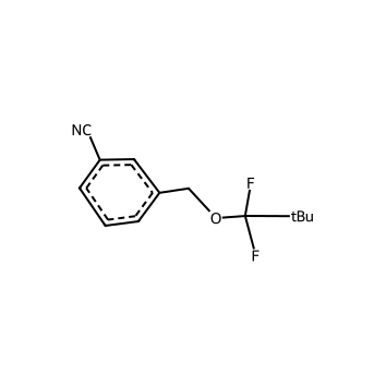 CC(C)(C)C(F)(F)OCc1cccc(C#N)c1